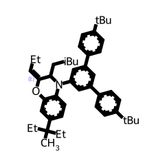 CC/C=C1/Oc2cc(C(C)(CC)CC)ccc2N(c2cc(-c3ccc(C(C)(C)C)cc3)cc(-c3ccc(C(C)(C)C)cc3)c2)C1CC(C)CC